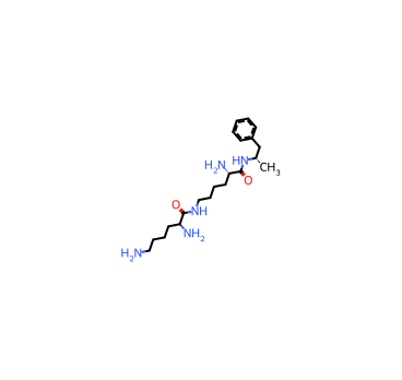 C[C@@H](Cc1ccccc1)NC(=O)[C@@H](N)CCCCNC(=O)[C@@H](N)CCCCN